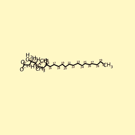 [2H]C([2H])([C@]([2H])(O)CC(=O)[O-])[N+](C)(C)CC(=O)CCCCCCCCCCCCCCC